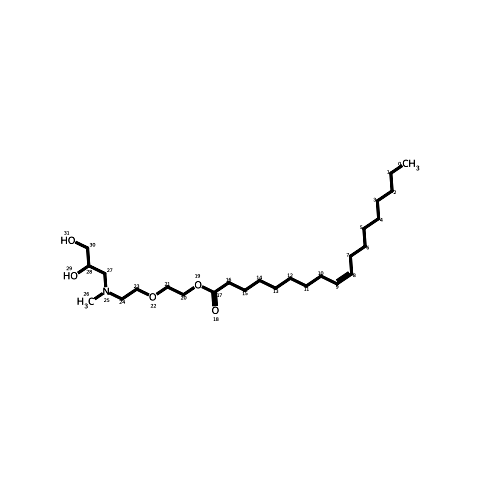 CCCCCCCC/C=C\CCCCCCCC(=O)OCCOCCN(C)CC(O)CO